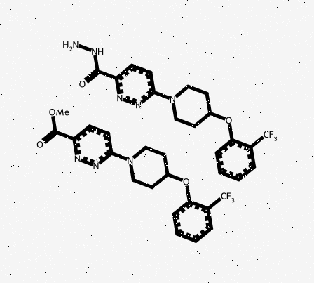 COC(=O)c1ccc(N2CCC(Oc3ccccc3C(F)(F)F)CC2)nn1.NNC(=O)c1ccc(N2CCC(Oc3ccccc3C(F)(F)F)CC2)nn1